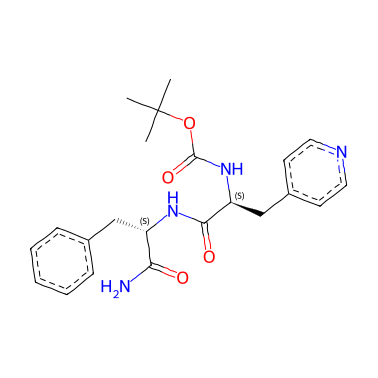 CC(C)(C)OC(=O)N[C@@H](Cc1ccncc1)C(=O)N[C@@H](Cc1ccccc1)C(N)=O